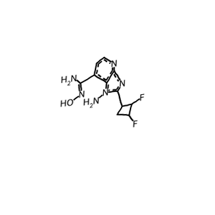 NC(=NO)c1ccnc2nc(C3CC(F)C3F)n(N)c12